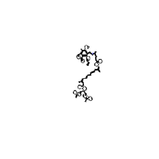 C=CCOc1c(C/C=C(\C)CCC(=O)OCC(C)CCCCCCCC(C)CC(=O)OC(COC(C)=O)COC(C)=O)c(OC)c(C)c2c1C(=O)OC2